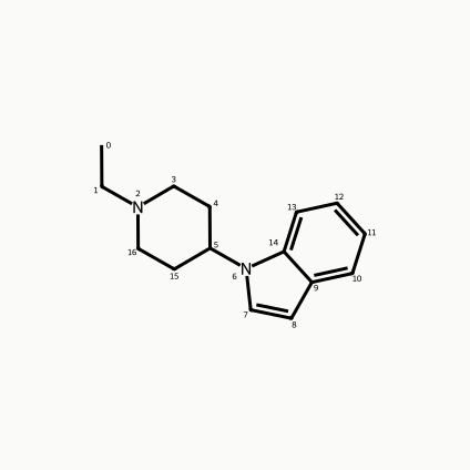 CCN1CCC(n2ccc3ccccc32)CC1